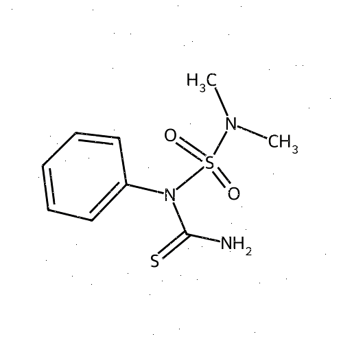 CN(C)S(=O)(=O)N(C(N)=S)c1ccccc1